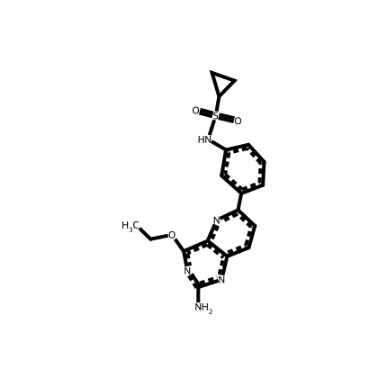 CCOc1nc(N)nc2ccc(-c3cccc(NS(=O)(=O)C4CC4)c3)nc12